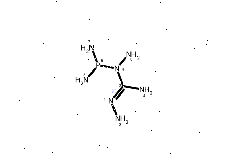 N/N=C(\N)N(N)P(N)N